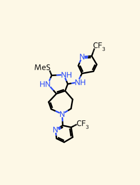 CSC1NC2=C(CCN(c3ncccc3C(F)(F)F)C=C2)C(Nc2ccc(C(F)(F)F)nc2)N1